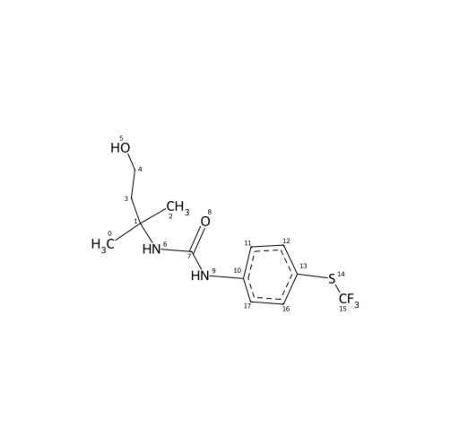 CC(C)(CCO)NC(=O)Nc1ccc(SC(F)(F)F)cc1